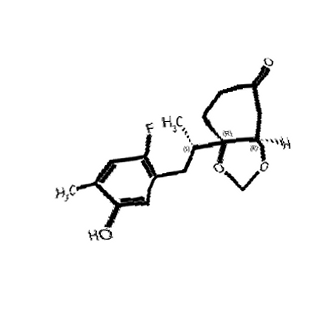 Cc1cc(F)c(C[C@H](C)[C@]23CCC(=O)C[C@H]2OCO3)cc1O